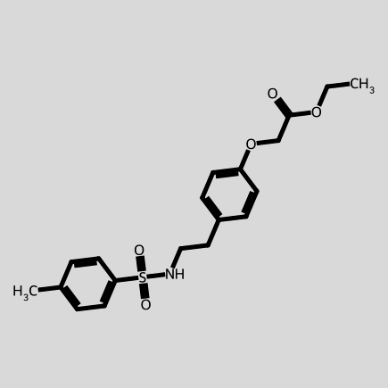 CCOC(=O)COc1ccc(CCNS(=O)(=O)c2ccc(C)cc2)cc1